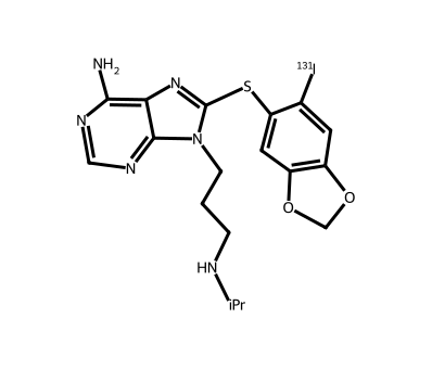 CC(C)NCCCn1c(Sc2cc3c(cc2[131I])OCO3)nc2c(N)ncnc21